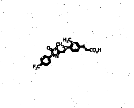 Cc1cc(SCC(=O)O)ccc1OCc1nn(-c2ccc(C(F)(F)F)cc2)c(=O)n1C